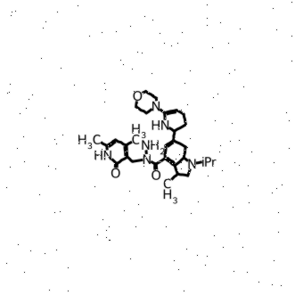 Cc1cc(C)c(CN(N)C(=O)C2=C3C(C)CN(C(C)C)C3CC(C3CCC=C(N4CCOCC4)N3)=C2)c(=O)[nH]1